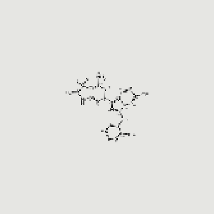 CC1(C)C(=O)Nc2nc(-c3nc(Cc4ccccc4F)n4cc(Cl)ccc34)nc(N)c21